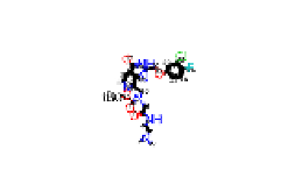 CN(C)CCNC(=O)CN(Cc1nccc2c(=O)[nH]c(COc3ccc(F)c(Cl)c3)nc12)C(=O)OC(C)(C)C